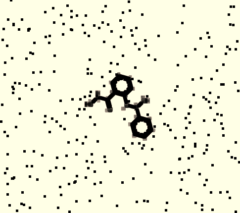 O=C(NO)c1ccccc1OB(O)c1ccccc1